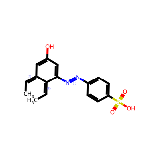 C/C=c1/cc(O)cc(/N=N/c2ccc(S(=O)(=O)O)cc2)/c1=C/C